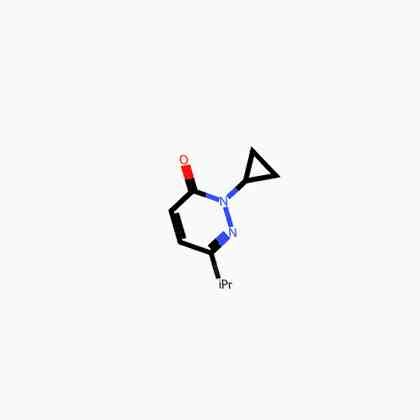 CC(C)c1ccc(=O)n(C2CC2)n1